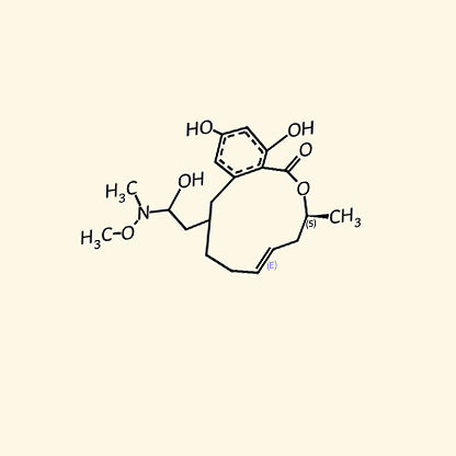 CON(C)C(O)CC1CC/C=C/C[C@H](C)OC(=O)c2c(O)cc(O)cc2C1